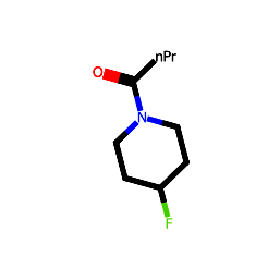 CCCC(=O)N1CCC(F)CC1